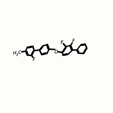 Cc1ccc(-c2ccc(COc3ccc(-c4ccccc4)c(F)c3F)cc2)c(F)c1